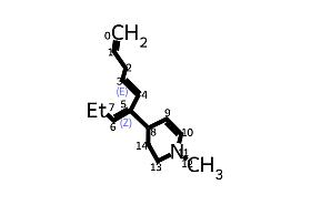 C=CC/C=C/C(=C\CC)C1C=CN(C)CC1